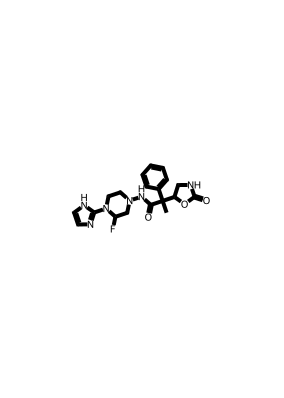 CC(C(=O)NN1CCN(c2ncc[nH]2)C(F)C1)(c1ccccc1)C1CNC(=O)O1